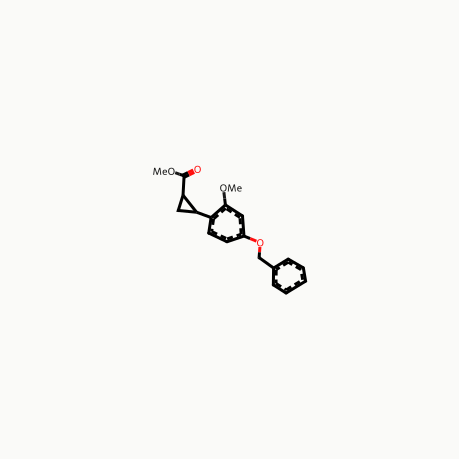 COC(=O)C1CC1c1ccc(OCc2ccccc2)cc1OC